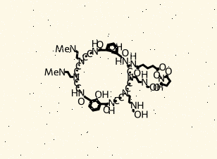 CNCCN1CCNC(=O)c2cccc(c2O)C(=O)NCCN(CCNCO)CCN(CCNCO)CC(NC(=O)CCCC(=O)ON2C(=O)CCC2=O)NC(=O)c2cccc(c2O)C(=O)NCCN(CCNC)CC1